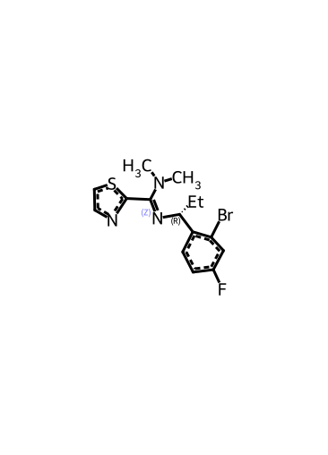 CC[C@@H](/N=C(/c1nccs1)N(C)C)c1ccc(F)cc1Br